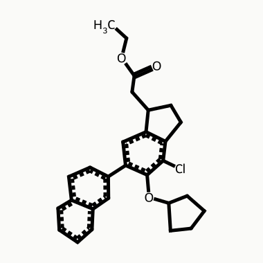 CCOC(=O)CC1CCc2c1cc(-c1ccc3ccccc3c1)c(OC1CCCC1)c2Cl